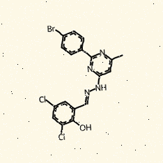 Cc1cc(N/N=C/c2cc(Cl)cc(Cl)c2O)nc(-c2ccc(Br)cc2)n1